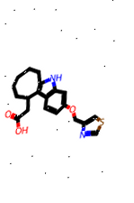 O=C(O)CC1CCCCCc2[nH]c3cc(OCc4cscn4)ccc3c21